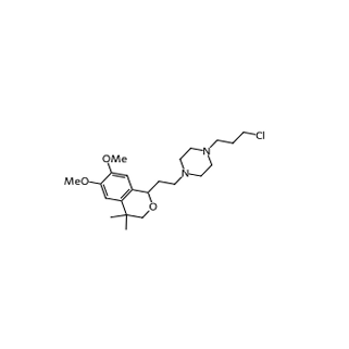 COc1cc2c(cc1OC)C(C)(C)COC2CCN1CCN(CCCCl)CC1